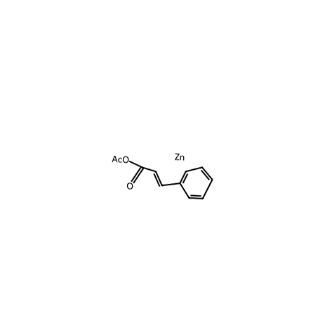 CC(=O)OC(=O)/C=C/c1ccccc1.[Zn]